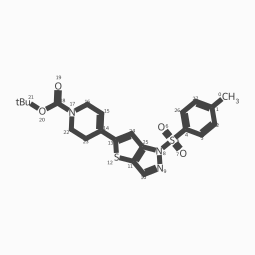 Cc1ccc(S(=O)(=O)n2ncc3sc(C4=CCN(C(=O)OC(C)(C)C)CC4)cc32)cc1